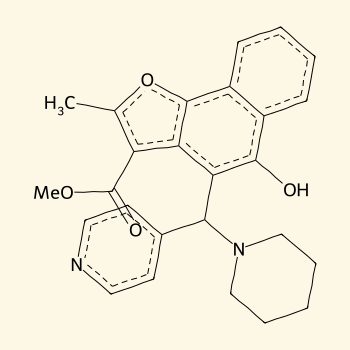 COC(=O)c1c(C)oc2c1c(C(c1ccncc1)N1CCCCC1)c(O)c1ccccc12